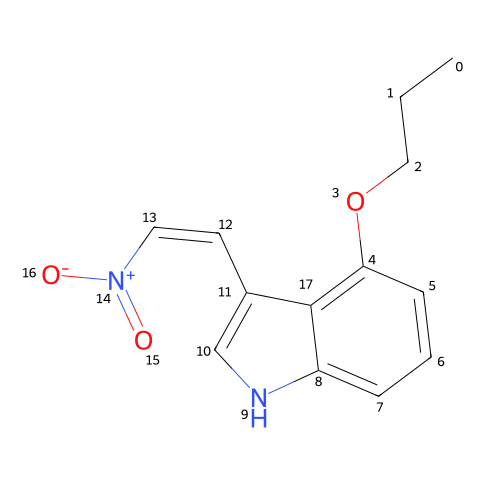 CCCOc1cccc2[nH]cc(/C=C\[N+](=O)[O-])c12